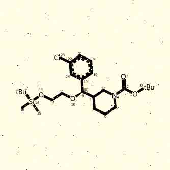 CC(C)(C)OC(=O)N1CCCC([C@@H](OCCO[Si](C)(C)C(C)(C)C)c2cccc(Cl)c2)C1